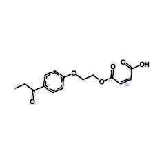 CCC(=O)c1ccc(OCCOC(=O)/C=C\C(=O)O)cc1